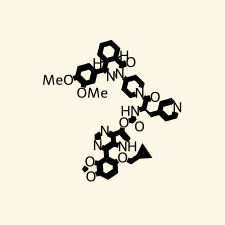 COc1ccc(C2=NN(C3CCN(C(=O)[C@@H](Cc4ccncc4)NC(=O)Oc4c[nH]c5c(-c6c(OCC7CC7)ccc7c6OCO7)ncnc45)CC3)C(=O)[C@@H]3CCCC[C@H]23)cc1OC